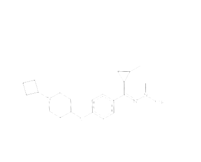 CC1CC1/C(=N\N(C)C=O)c1ccc(OC2CCN(C3CCC3)CC2)cc1